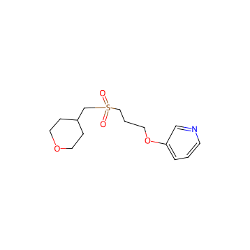 O=S(=O)(CCCOc1cccnc1)CC1CCOCC1